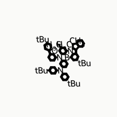 Cc1cc2c3c(c1)-n1c4c(c5cc(C(C)(C)C)cc(c51)B3c1ccc(N(c3ccc(C(C)(C)C)cc3)c3ccc(C(C)(C)C)cc3)cc1N2c1cccc2c1oc1cc(C(C)(C)C)ccc12)-c1ccccc1C4(C)C